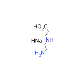 NCCNCCC(=O)O.[NaH]